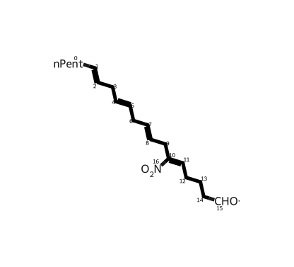 CCCCC/C=C/C/C=C/C/C=C/C/C(=C/CCC[C]=O)[N+](=O)[O-]